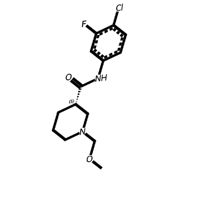 COCN1CCC[C@H](C(=O)Nc2ccc(Cl)c(F)c2)C1